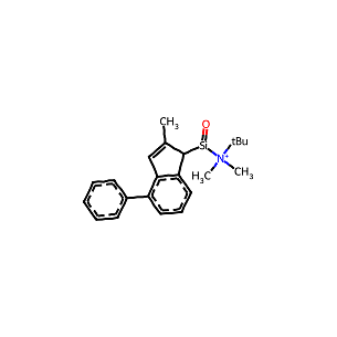 CC1=Cc2c(-c3ccccc3)cccc2C1[Si](=O)[N+](C)(C)C(C)(C)C